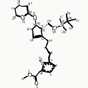 COC(=O)c1ccc(CCCC2=CC[C@@H](OC3CCCCO3)[C@@H]2CO[Si](C)(C)C(C)(C)C)s1